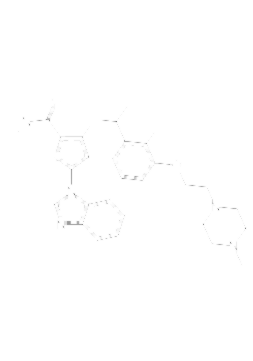 CC(Oc1cc(-n2cnc3ccccc32)sc1C(N)=O)c1cccc(OCCN2CCN(C)CC2)c1Cl